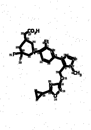 CCc1nc(-c2nnn(C)c2COc2noc(C3CC3)n2)ccc1N1CC(CC(=O)O)CC(F)(F)C1